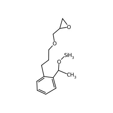 CC(O[SiH3])c1ccccc1CCCOCC1CO1